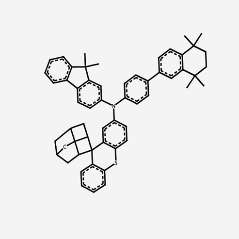 CC1(C)CCC(C)(C)c2cc(-c3ccc(N(c4ccc5c(c4)C(C)(C)c4ccccc4-5)c4ccc5c(c4)C4(c6ccccc6S5)C5CC6CC7CC4C75C6)cc3)ccc21